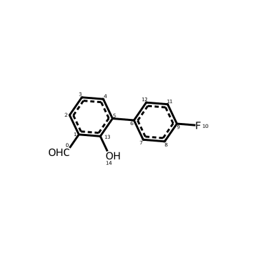 O=Cc1cccc(-c2ccc(F)cc2)c1O